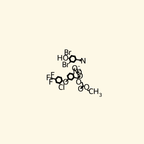 CCOC(=O)COC(=O)c1cc(Oc2ccc(C(F)(F)F)cc2Cl)ccc1[N+](=O)[O-].N#Cc1cc(Br)c(O)c(Br)c1